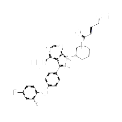 Nc1ncnc2c1c(-c1ccc(Oc3ccc(F)cc3F)cc1)nn2[C@@H]1CCCN(C(=O)/C=C/CO)C1